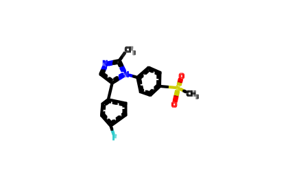 CS(=O)(=O)c1ccc(-n2c(-c3ccc(F)cc3)cnc2C(F)(F)F)cc1